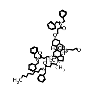 CCCCCCCCN(Cc1ccccc1)C(=O)CCC(C)[C@H]1CC[C@H]2C3[C@H](OCCC=O)CC4C[C@H](OCCC(=O)N(Cc5ccccc5)Cc5ccccc5)CC[C@]4(C)[C@H]3C[C@H](OCCC(=O)N(Cc3ccccc3)Cc3ccccc3)[C@]12C